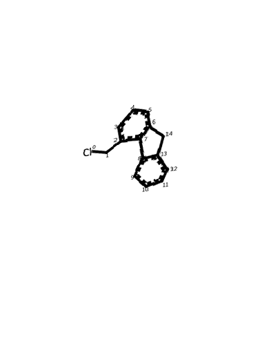 ClCc1cccc2c1-c1ccccc1C2